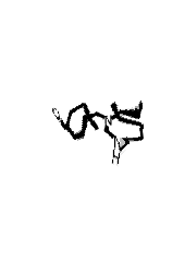 CC1(CN2CNC=CC2(C)C)CCC(=O)CC1